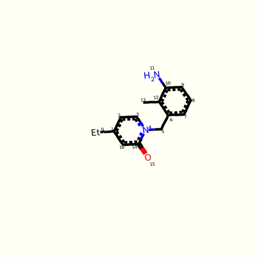 CCc1ccn(Cc2cccc(N)c2C)c(=O)c1